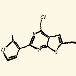 Cc1cc2c(Cl)nc(-c3ccoc3C)nc2s1